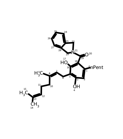 CCCCCc1cc(O)c(CC=C(C)CCC=C(C)C)c(O)c1C(=O)N1Cc2ccccc2C1